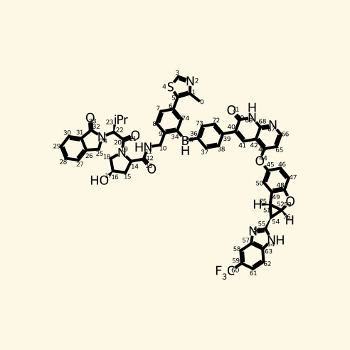 Cc1ncsc1-c1ccc(CNC(=O)C2C[C@@H](O)CN2C(=O)[C@H](C(C)C)N2Cc3ccccc3C2=O)c(Bc2ccc(-c3cc4c(Oc5ccc6c(c5)[C@@H]5[C@H](O6)[C@H]5c5nc6cc(C(F)(F)F)ccc6[nH]5)ccnc4[nH]c3=O)cc2)c1